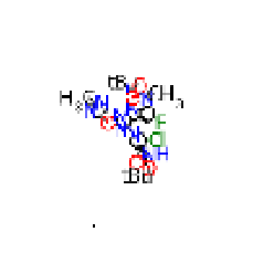 Cc1ncc(Oc2nc(N3CC[C@@H](NC(=O)OC(C)(C)C)C(Cl)C3)c3c(n2)[nH]c2c(N(C)C(=O)OC(C)(C)C)cc(F)cc23)cn1